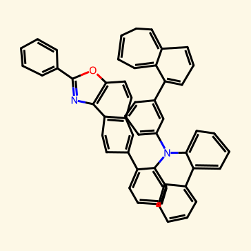 C1=CCC=c2cccc(-c3cccc(N(c4ccccc4-c4ccccc4)c4ccccc4-c4ccc5c(ccc6oc(-c7ccccc7)nc65)c4)c3)c2=C1